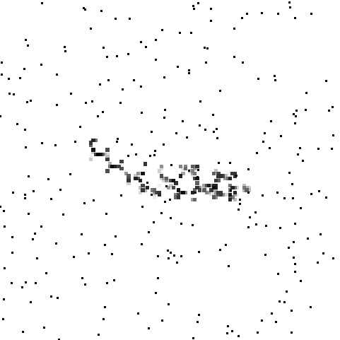 CCCCCCC1CCC(C2C=CC(c3ccc(C)cc3)=CC2)CC1